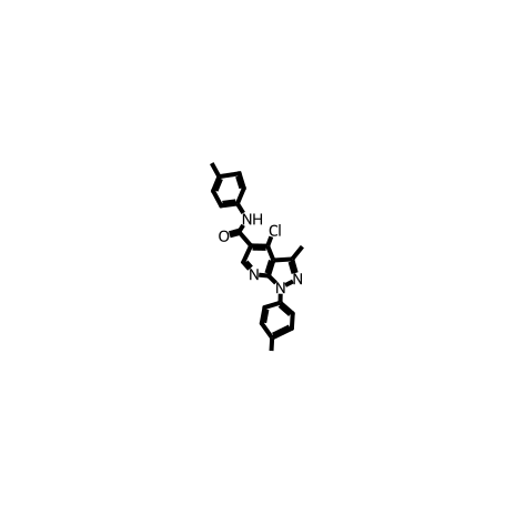 Cc1ccc(NC(=O)c2cnc3c(c(C)nn3-c3ccc(C)cc3)c2Cl)cc1